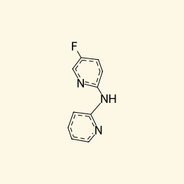 Fc1ccc(Nc2ccccn2)nc1